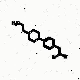 CCCC1CCC(c2ccc(C=C(Br)Br)cc2)CC1